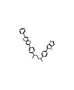 CC(CCC(C)c1ccc(-c2cc3sc(-c4ccccc4)cc3s2)cc1)c1ccc(-c2cc3sccc3s2)cc1